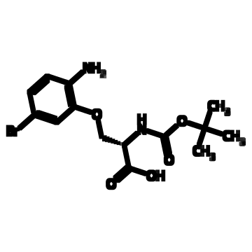 CC(C)(C)OC(=O)N[C@@H](COc1cc(Br)ccc1N)C(=O)O